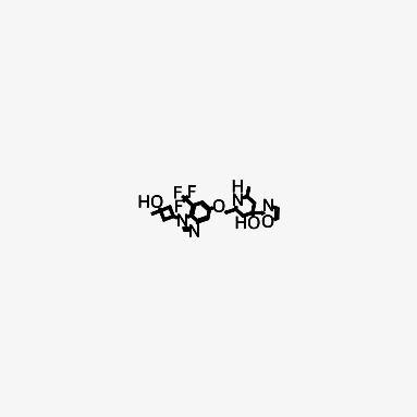 CC1CC(O)(c2ncco2)CC(COc2cc(C(F)(F)F)c3c(c2)ncn3C2CC(C)(O)C2)N1